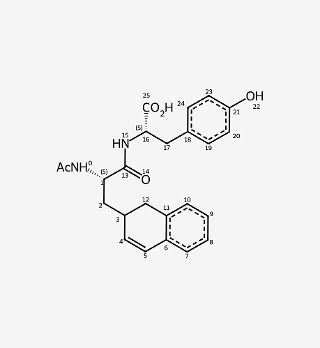 CC(=O)N[C@@H](CC1C=Cc2ccccc2C1)C(=O)N[C@@H](Cc1ccc(O)cc1)C(=O)O